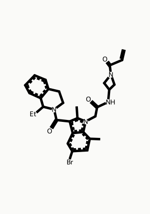 C=CC(=O)N1CC(NC(=O)Cn2c(C)c(C(=O)N3CCc4ccccc4C3CC)c3cc(Br)cc(C)c32)C1